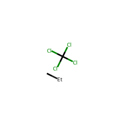 CCC.ClC(Cl)(Cl)Cl